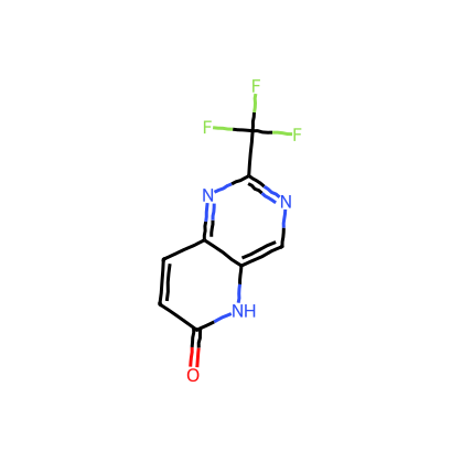 O=c1ccc2nc(C(F)(F)F)ncc2[nH]1